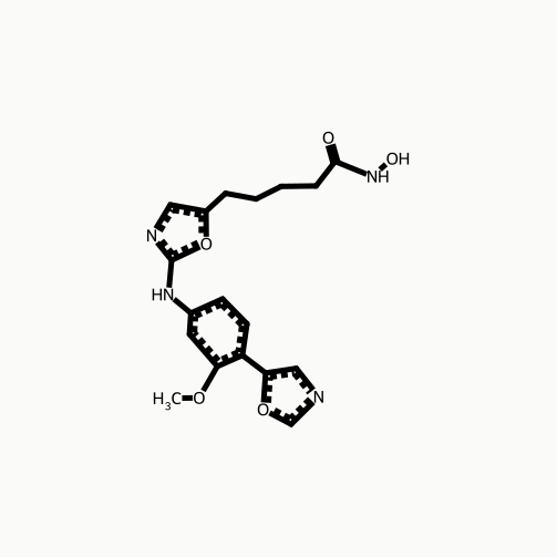 COc1cc(Nc2ncc(CCCCC(=O)NO)o2)ccc1-c1cnco1